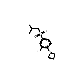 CC(C)CS(=O)(=O)c1ccc(N2CCC2)c(Cl)c1